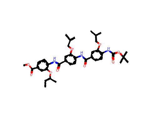 CCC(C)Oc1cc(C(=O)OC)ccc1NC(=O)c1ccc(NC(=O)c2ccc(NC(=O)OC(C)(C)C)c(OCC(C)C)c2)c(OCC(C)C)c1